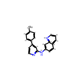 CC(C)(C)c1ccc(-c2ccnc(Nc3ccc4cccnc4c3)c2)cc1